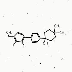 CCc1ccc(-c2ccc(C3(O)CCC(C)(C)CC3)cc2)c(F)c1F